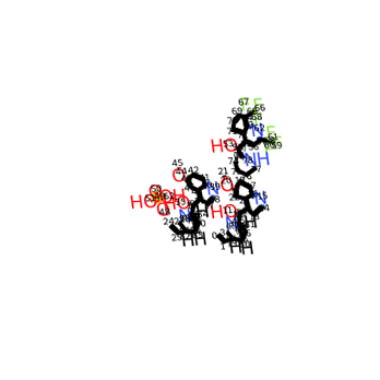 C=C[C@H]1C[N@]2CC[C@H]1C[C@H]2[C@H](O)c1ccnc2ccc(OC)cc12.C=C[C@H]1C[N@]2CC[C@H]1C[C@H]2[C@H](O)c1ccnc2ccc(OC)cc12.O=S(=O)(O)O.O[C@@H](c1cc(C(F)(F)F)nc2c(C(F)(F)F)cccc12)[C@H]1CCCCN1